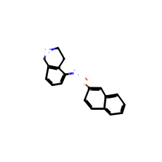 O=S(=O)(Nc1cccc2c1CCNC2)c1ccc2ccccc2c1